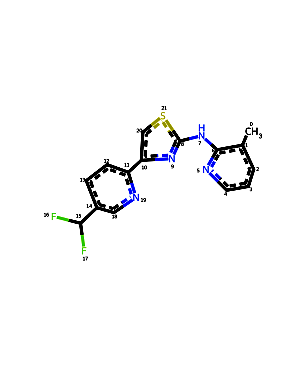 Cc1cccnc1Nc1nc(-c2ccc(C(F)F)cn2)cs1